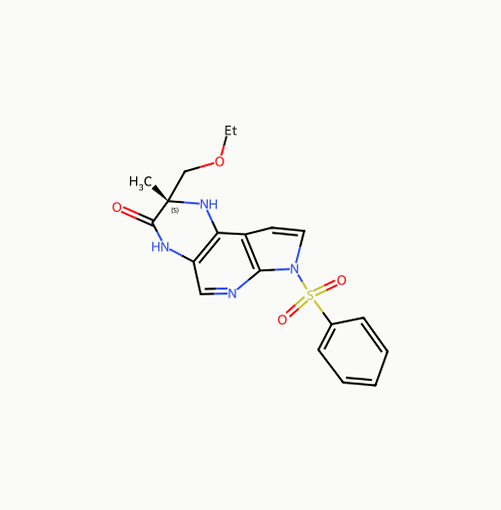 CCOC[C@]1(C)Nc2c(cnc3c2ccn3S(=O)(=O)c2ccccc2)NC1=O